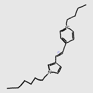 CCCCCCn1ccc(/C=C/c2cc[n+](CCCC)cc2)c1